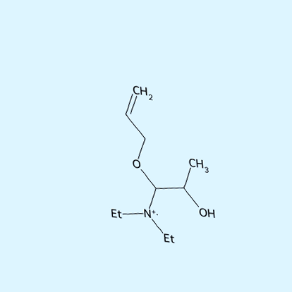 C=CCOC(C(C)O)[N+](CC)CC